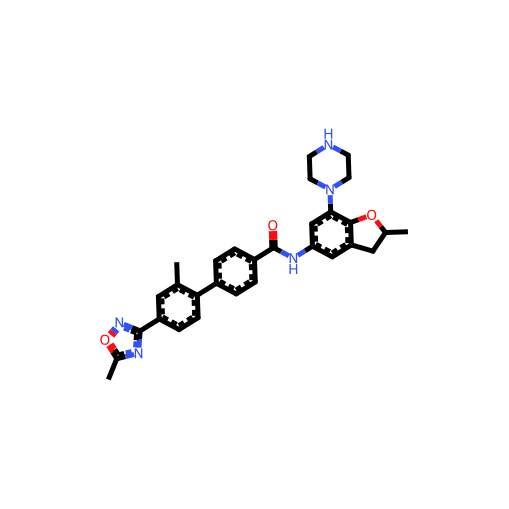 Cc1nc(-c2ccc(-c3ccc(C(=O)Nc4cc5c(c(N6CCNCC6)c4)OC(C)C5)cc3)c(C)c2)no1